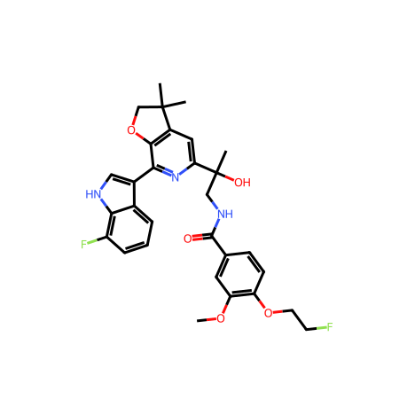 COc1cc(C(=O)NCC(C)(O)c2cc3c(c(-c4c[nH]c5c(F)cccc45)n2)OCC3(C)C)ccc1OCCF